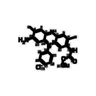 Cc1cc2nc3cc(C)c(NC(=O)OC(C)(C)C)cc3[n+](-c3ccccc3)c2cc1N.[Cl-]